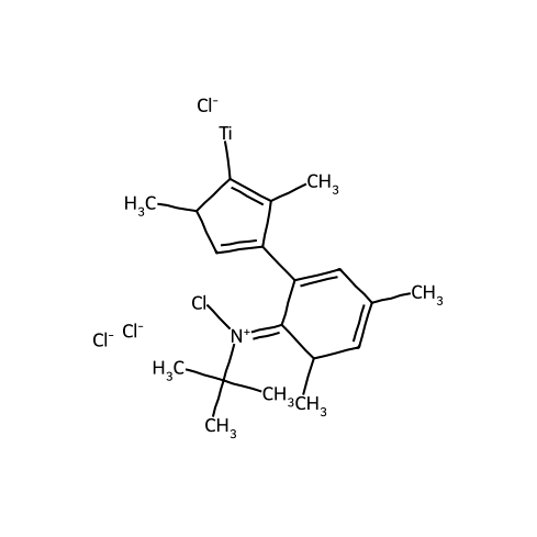 CC1=CC(C)C(=[N+](Cl)C(C)(C)C)C(C2=CC(C)[C]([Ti])=C2C)=C1.[Cl-].[Cl-].[Cl-]